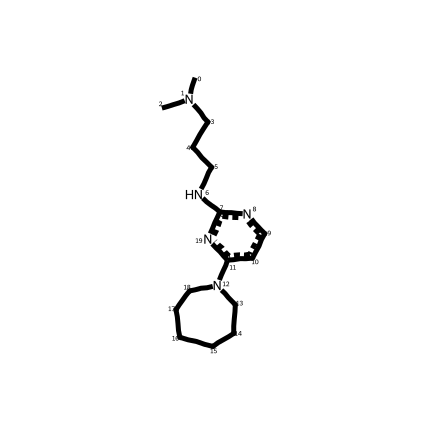 CN(C)CCCNc1nccc(N2CCCCCC2)n1